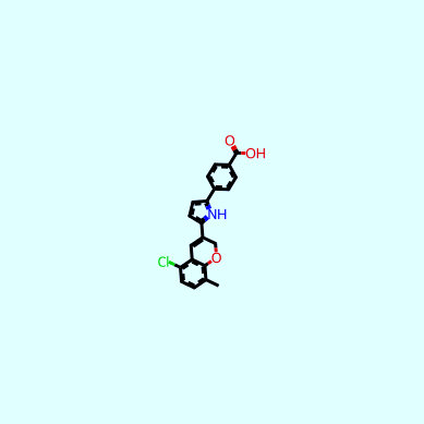 Cc1ccc(Cl)c2c1OCC(c1ccc(-c3ccc(C(=O)O)cc3)[nH]1)=C2